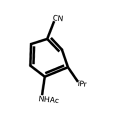 CC(=O)Nc1ccc(C#N)cc1C(C)C